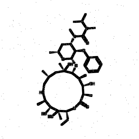 CC[C@H]1OC(=O)[C@H](C)[C@@H](O)[C@H](C)[C@@H](O[C@@H]2O[C@H](C)C[C@H](N(C)C(=O)N(C)C(C)C)[C@H]2Oc2ccccc2)[C@](C)(O)C[C@@H](C)CN[C@H](C)[C@@H](O)[C@]1(C)O